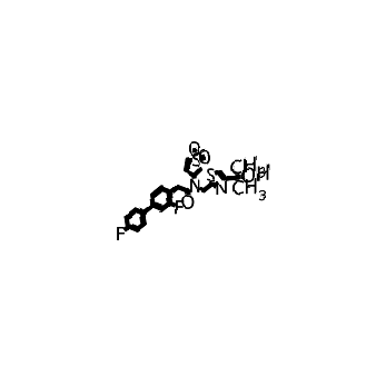 CC(C)(O)c1csc(CN(C(=O)Cc2ccc(-c3ccc(F)cc3)cc2F)C2C=CS(=O)(=O)C2)n1